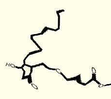 CCCCCCC=CC1C(O)CC(=O)C1CCCCCCC(=O)OC